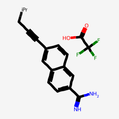 CC(C)CC#Cc1ccc2cc(C(=N)N)ccc2c1.O=C(O)C(F)(F)F